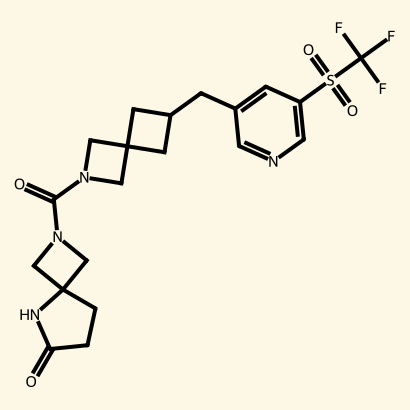 O=C1CCC2(CN(C(=O)N3CC4(CC(Cc5cncc(S(=O)(=O)C(F)(F)F)c5)C4)C3)C2)N1